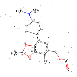 Cc1c(COC=O)cc(C2CCC(N(C)C)CC2)c2c1OC(C)O2